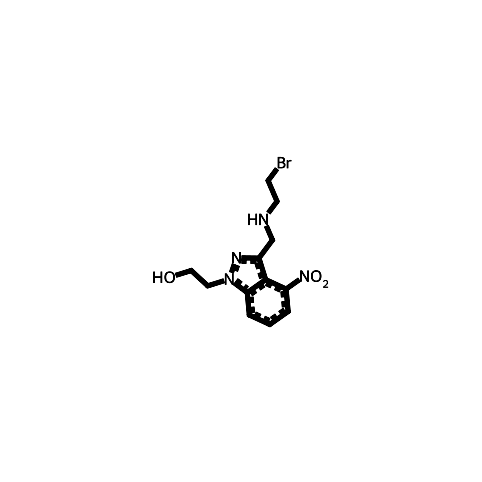 O=[N+]([O-])c1cccc2c1c(CNCCBr)nn2CCO